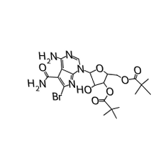 CC(C)(C)C(=O)OCC1OC(n2cnc(N)c3c(C(N)=O)c(Br)nc2-3)C(O)C1OC(=O)C(C)(C)C